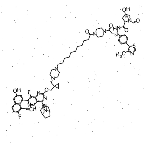 C#Cc1c(F)ccc2cc(O)cc(-c3ncc4c(N5CC6CCC(C5)N6)nc(OCC5(CN6CCN(CCCCCCCCCCC(=O)N7CCN(C(=O)C[C@H](NC(=O)C8C[C@@H](O)CN8C=O)c8ccc(-c9scnc9C)cc8)CC7)CC6)CC5)nc4c3F)c12